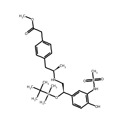 COC(=O)Cc1ccc(C[C@@H](C)NC[C@H](O[Si](C)(C)C(C)(C)C)c2ccc(O)c(NS(C)(=O)=O)c2)cc1